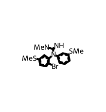 CNC(=N)N(c1cccc(SC)c1)c1cc(SC)ccc1Br